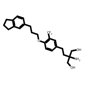 NC(CO)(CO)CCc1ccc(OCCCc2ccc3c(c2)CCC3)c(C(F)(F)F)c1